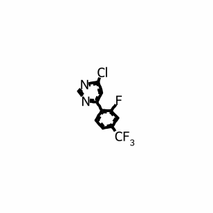 Fc1cc(C(F)(F)F)ccc1-c1cc(Cl)ncn1